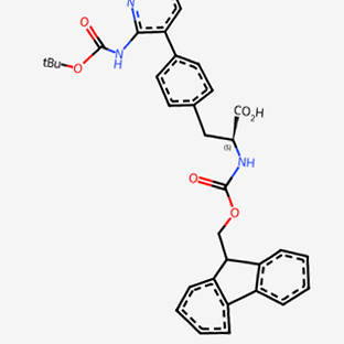 CC(C)(C)OC(=O)Nc1ncccc1-c1ccc(C[C@H](NC(=O)OCC2c3ccccc3-c3ccccc32)C(=O)O)cc1